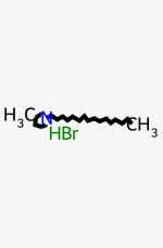 Br.CCCCCCCCCCCCCCCCN1CCCC(C)C1